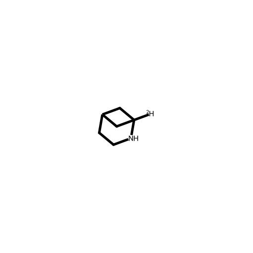 [2H]C12CC(CCN1)C2